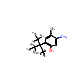 [2H]C([2H])([2H])C(c1cc(C(C)(C)C)c(N)cc1O)(C([2H])([2H])[2H])C([2H])([2H])[2H]